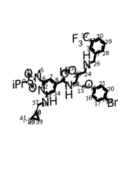 CC(C)S(=O)(=O)N(C)c1cc(C(=O)N[C@@H](COc2ccc(Br)cc2)[C@H](O)CNCc2cccc(C(F)(F)F)c2)cc(NC[C@H]2C[C@@H]2C)n1